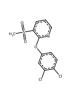 CS(=O)(=O)c1cccnc1Oc1ccc(Cl)c(Cl)c1